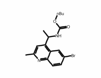 CCCCOC(=O)NC(C)c1cc(C)nc2ccc(Br)cc12